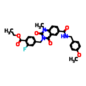 CCOC(=O)c1ccc(Cn2c(=O)c3cc(C(=O)NCc4ccc(OC)cc4)ccc3n(C)c2=O)cc1F